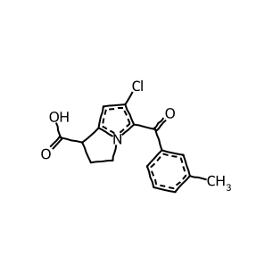 Cc1cccc(C(=O)c2c(Cl)cc3n2CCC3C(=O)O)c1